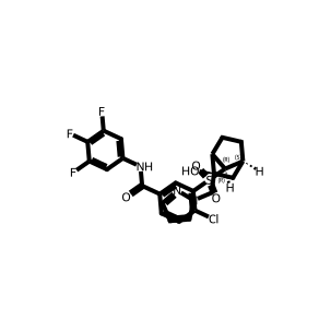 O=C(Nc1cc(F)c(F)c(F)c1)c1ccc(Cl)c(S(=O)(=O)[C@H]2C3CC[C@H]2C[C@]3(O)Cn2cccn2)c1